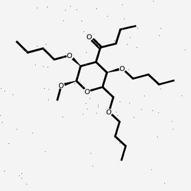 CCCCOCC1O[C@@H](OC)[C@@H](OCCCC)C(C(=O)CCC)[C@H]1OCCCC